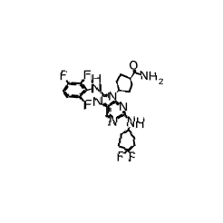 NC(=O)[C@H]1CC[C@H](n2c(Nc3c(F)ccc(F)c3F)nc3cnc(NC4CCC(F)(F)CC4)nc32)CC1